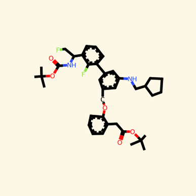 CC(C)(C)OC(=O)Cc1ccccc1OCc1cc(NCC2CCCC2)cc(-c2cccc(C(CF)NC(=O)OC(C)(C)C)c2F)c1